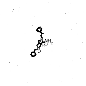 NC(=O)C1[C@@H]2CN(C(=O)Cc3ccccc3)CC2CN1CC[CH]c1ccccc1